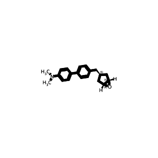 CN(C)c1ccc(-c2ccc(C[C@H]3C[C@@H]4O[C@@H]4C3)cc2)cc1